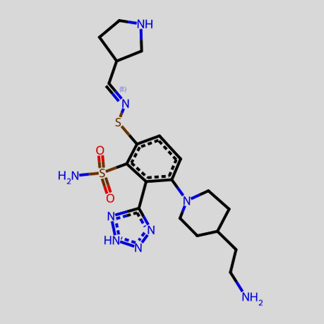 NCCC1CCN(c2ccc(S/N=C/C3CCNC3)c(S(N)(=O)=O)c2-c2nn[nH]n2)CC1